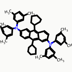 Cc1cc(C)cc(N(c2cc(C)cc(C)c2)c2ccc3c(C4CCCCC4)c4cc(N(c5cc(C)cc(C)c5)c5cc(C)cc(C)c5)ccc4c(C4CCCCC4)c3c2)c1